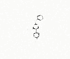 CCOc1ccc(-c2cnc(NC3=C[CH]CC=C3)nc2SC)cc1